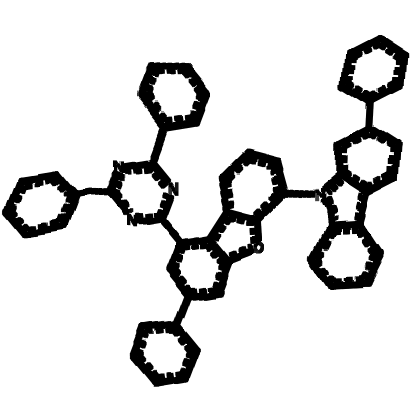 c1ccc(-c2cc(-c3nc(-c4ccccc4)nc(-c4ccccc4)n3)c3c(c2)oc2c(-n4c5ccccc5c5ccc(-c6ccccc6)cc54)cccc23)cc1